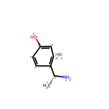 Br.C[C@@H](N)c1ccc(O)cc1